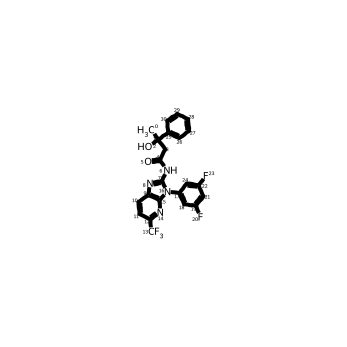 CC(O)(CC(=O)Nc1nc2ccc(C(F)(F)F)nc2n1-c1cc(F)cc(F)c1)c1ccccc1